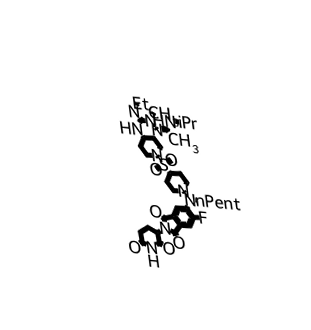 CCCCCN(c1cc2c(cc1F)C(=O)N(C1CCC(=O)NC1=O)C2=O)N1CCC(S(=O)(=O)N2CCC(N/C(=N/CC)N(C)N=C(C)NC(C)C)CC2)CC1